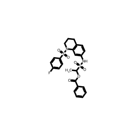 CC(OC(=O)c1ccccc1)S(=O)(=O)Nc1ccc2c(c1)N(S(=O)(=O)c1ccc(F)cc1)CCC2